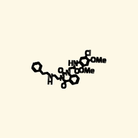 COc1cc(OC)c(NC(=O)Cn2c(=O)n(CCNCCc3ccccc3)c(=O)c3ccccc32)cc1Cl